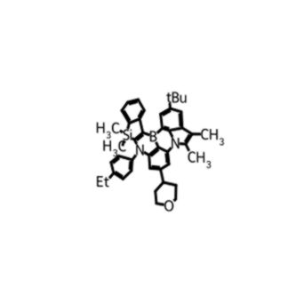 CCc1ccc(N2C3=C(B4c5c2cc(C2CCOCC2)cc5-n2c(C)c(C)c5cc(C(C)(C)C)cc4c52)c2ccccc2[Si]3(C)C)cc1